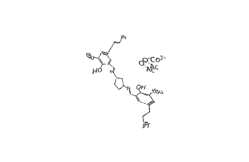 CC(=O)[O-].CC(=O)[O-].CC(C)CCc1cc(C=NC2CCC(N=Cc3cc(CCC(C)C)cc(C(C)(C)C)c3O)C2)c(O)c(C(C)(C)C)c1.[Co+2]